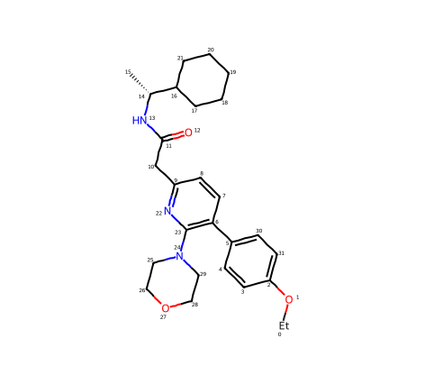 CCOc1ccc(-c2ccc(CC(=O)N[C@H](C)C3CCCCC3)nc2N2CCOCC2)cc1